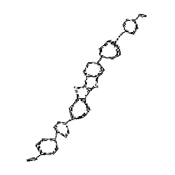 C=Cc1ccc(-c2ccc(-c3ccc4c(c3)sc3c5ccc(-c6ccc(-c7ccc(C=C)cc7)cc6)cc5sc43)cc2)cc1